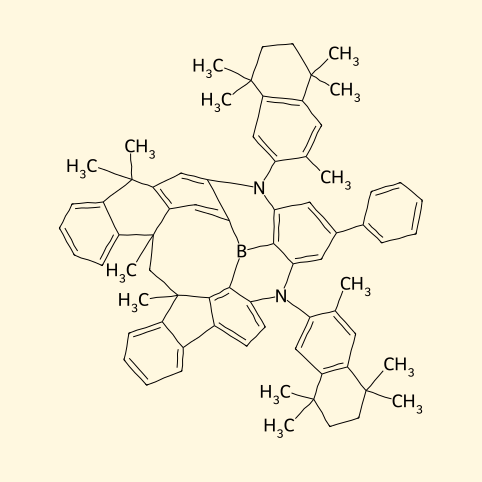 Cc1cc2c(cc1N1c3cc4c5cc3B3c6c1cc(-c1ccccc1)cc6N(c1cc6c(cc1C)C(C)(C)CCC6(C)C)c1ccc6c(c13)C(C)(CC5(C)c1ccccc1C4(C)C)c1ccccc1-6)C(C)(C)CCC2(C)C